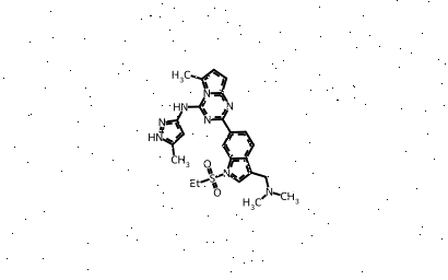 CCS(=O)(=O)n1cc(CN(C)C)c2ccc(-c3nc(Nc4cc(C)[nH]n4)n4c(C)ccc4n3)cc21